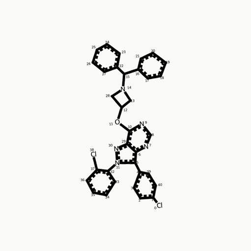 Clc1ccc(-c2c3ncnc(OC4CN(C(c5ccccc5)c5ccccc5)C4)c3nn2-c2ccccc2Cl)cc1